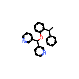 CC(c1ccccc1)c1ccccc1OC(c1cccnc1)c1cccnc1